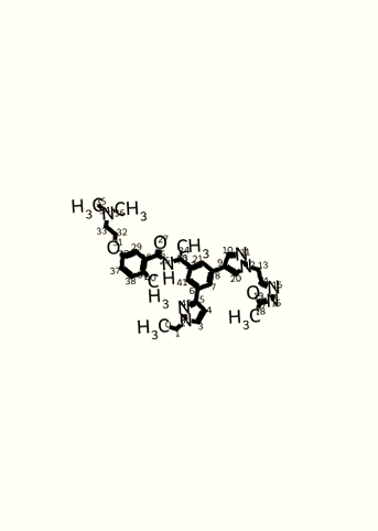 CCn1ccc(-c2cc(-c3cnn(Cc4nnc(C)o4)c3)cc([C@@H](C)NC(=O)c3cc(OCCN(C)C)ccc3C)c2)n1